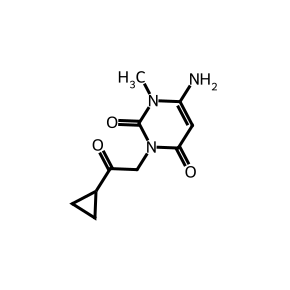 Cn1c(N)cc(=O)n(CC(=O)C2CC2)c1=O